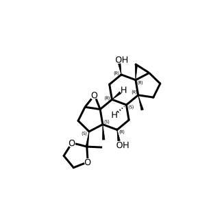 CC1([C@H]2CC3OC34[C@@H]3C[C@@H](O)[C@]56CC5CC[C@]6(C)[C@H]3C[C@@H](O)[C@]24C)OCCO1